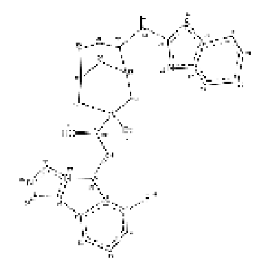 CCC1([C@H](O)C[C@@H]2c3c(F)cccc3-c3cncn32)CC2CCC(Nc3nc4ccccc4s3)C(C2)C1